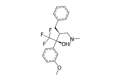 COc1cccc([C@@](O)([C@@H](Cc2ccccc2)CN(C)C)C(F)(F)F)c1